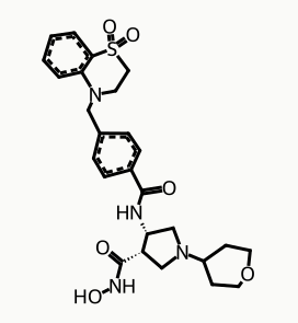 O=C(N[C@@H]1CN(C2CCOCC2)C[C@@H]1C(=O)NO)c1ccc(CN2CCS(=O)(=O)c3ccccc32)cc1